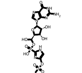 CS(=O)(=O)Oc1c[nH]c(P(=O)(O)OC(O)[C@H]2O[C@@H](n3cnc4c(=O)[nH]c(N)nc43)[C@H](O)[C@@H]2O)n1